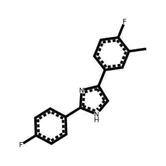 Cc1cc(-c2c[nH]c(-c3ccc(F)cc3)n2)ccc1F